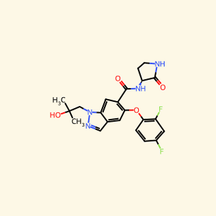 CC(C)(O)Cn1ncc2cc(Oc3ccc(F)cc3F)c(C(=O)N[C@H]3CCNC3=O)cc21